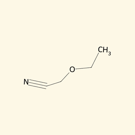 CCOCC#N